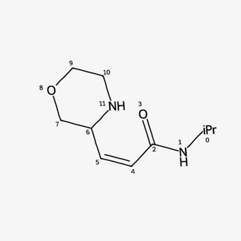 CC(C)NC(=O)/C=C\C1COCCN1